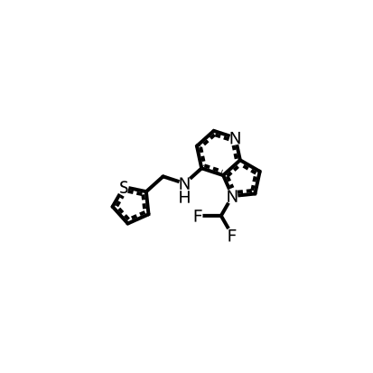 FC(F)n1ccc2nccc(NCc3cccs3)c21